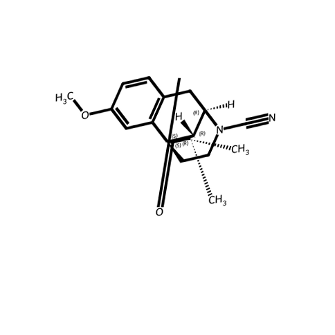 COc1ccc2c(c1)[C@]13CCN(C#N)[C@H](C2)[C@@H]1[C@@H](C)[C@H](C)C(=O)C3